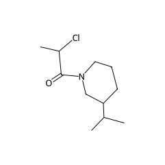 CC(Cl)C(=O)N1CCCC(C(C)C)C1